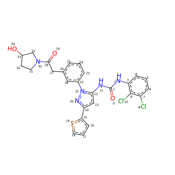 O=C(Nc1cccc(Cl)c1Cl)Nc1cc(-c2cccs2)nn1-c1cccc(CC(=O)N2CCC(O)C2)c1